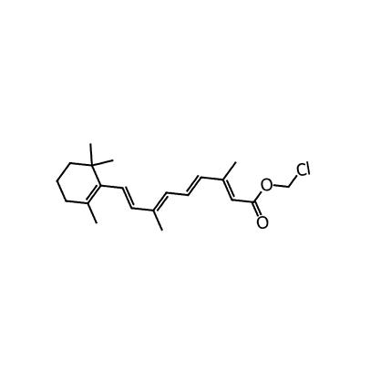 CC(C=CC1=C(C)CCCC1(C)C)=CC=CC(C)=CC(=O)OCCl